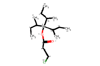 CCC(C)[Si](OC(=O)CCCl)(C(C)CC)C(C)CC